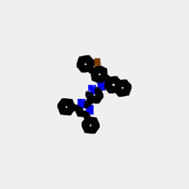 c1ccc(-c2cc(-c3ccccc3)nc(-c3ccc(-n4c5cc6ccccc6cc5c5cc6sc7ccccc7c6cc54)nc3)n2)cc1